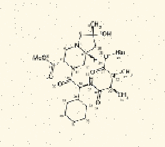 COC(=O)[C@@H]1CN2C[C@](C)(O)C[C@@H]2CN1C(=O)[C@@H](NC(=O)[C@H](C)N(C)C(=O)OC(C)(C)C)C1CCCCC1